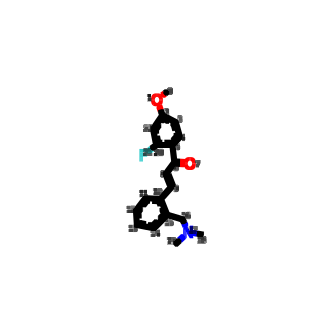 COc1ccc(C(=O)C=Cc2ccccc2CN(C)C)c(F)c1